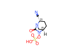 N#C[C@@H]1CC[C@@H]2CN1C(=O)N2OS(=O)(=O)O